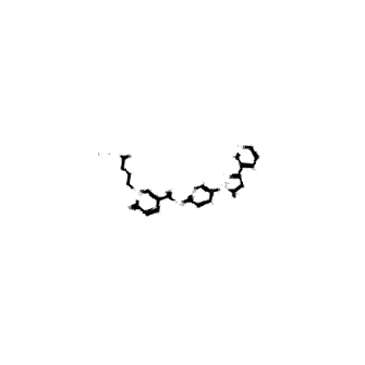 COC(=O)CCCn1cc(C(=O)Nc2ccc(-n3nc(-c4cccnc4)cc3C(F)(F)F)cn2)ccc1=O